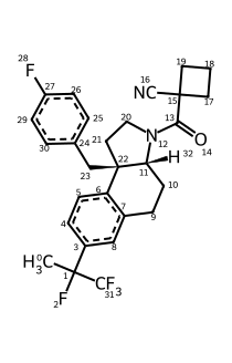 CC(F)(c1ccc2c(c1)CC[C@H]1N(C(=O)C3(C#N)CCC3)CC[C@@]21Cc1ccc(F)cc1)C(F)(F)F